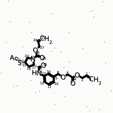 C=CCOC(=O)COCc1cccc(NC(=O)[C@@H]2C[C@H](SC(C)=O)CN2C(=O)OCC=C)c1